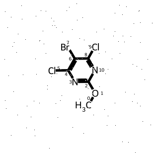 COc1nc(Cl)c(Br)c(Cl)n1